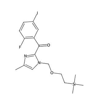 Cc1cn(COCC[Si](C)(C)C)c(C(=O)c2cc(I)ccc2F)n1